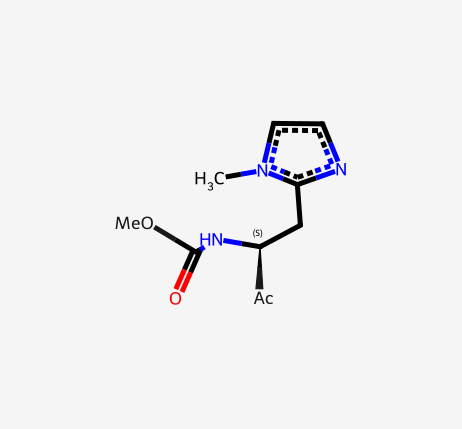 COC(=O)N[C@@H](Cc1nccn1C)C(C)=O